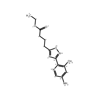 CCOC(=O)CCCc1nc(-c2ncc(N)cc2C)no1